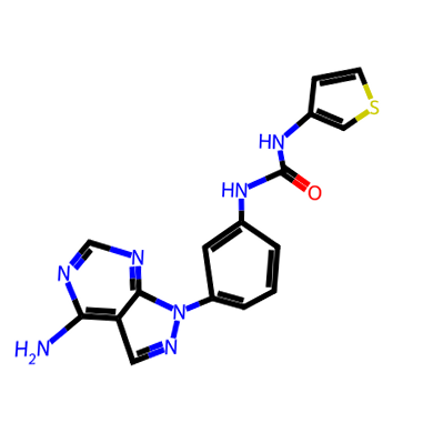 Nc1ncnc2c1cnn2-c1cccc(NC(=O)Nc2ccsc2)c1